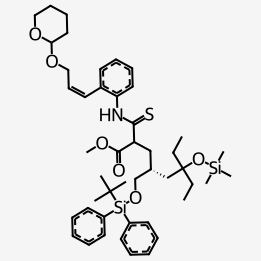 CCC(CC)(C[C@H](CO[Si](c1ccccc1)(c1ccccc1)C(C)(C)C)CC(C(=O)OC)C(=S)Nc1ccccc1/C=C\COC1CCCCO1)O[Si](C)(C)C